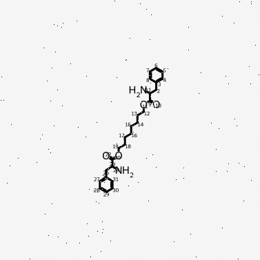 NC(Cc1ccccc1)C(=O)OCCCCCCCCOC(=O)C(N)Cc1ccccc1